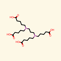 O=C(O)CCCCP(CCCCC(=O)O)CCCP(CCCCC(=O)O)CCCCC(=O)O